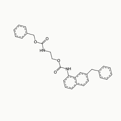 O=C(NCCOC(=O)Nc1cccc2ccc(Cc3ccccc3)cc12)OCc1ccccc1